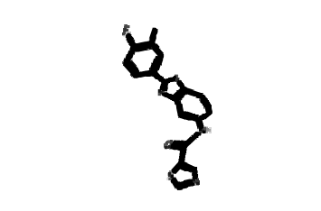 Cc1cc(-c2nc3cc(NC(=O)c4cncs4)ccc3s2)ccc1F